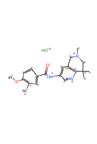 CC(C)Oc1ccc(C(=O)Nc2cnc3c(c2)CN(C)CC3(C)C)cc1C#N.Cl